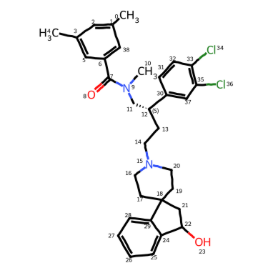 Cc1cc(C)cc(C(=O)N(C)C[C@@H](CCN2CCC3(CC2)CC(O)c2ccccc23)c2ccc(Cl)c(Cl)c2)c1